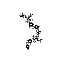 CCN(C)Cc1oc(N2CC(CC)(OCC34CC(Oc5c(F)cc(NC(=O)c6nc(N7CC(CC)(OC)C7)oc6CN(C)C)cc5F)CC3C4)C2)nc1C(=O)Nc1cc(F)c(OC2CC3CC3C2)c(F)c1